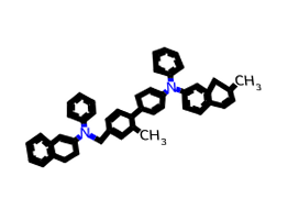 CC1C=Cc2ccc(N(C3=CCC(C4C=CC(CN(C5=Cc6ccccc6CC5)c5ccccc5)=CC4C)C=C3)c3ccccc3)cc2C1